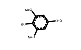 CCC(C)c1c(OC)cc(C=O)cc1OC